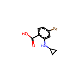 O=C(O)c1ccc(Br)cc1NC1CC1